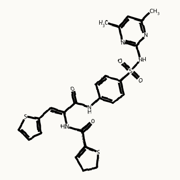 Cc1cc(C)nc(NS(=O)(=O)c2ccc(NC(=O)/C(=C/c3cccs3)NC(=O)C3=CCCS3)cc2)n1